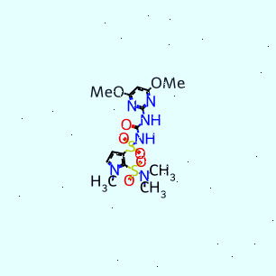 COc1cc(OC)nc(NC(=O)NS(=O)(=O)c2ccn(C)c2S(=O)(=O)N(C)C)n1